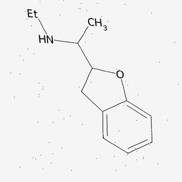 CCNC(C)C1Cc2ccccc2O1